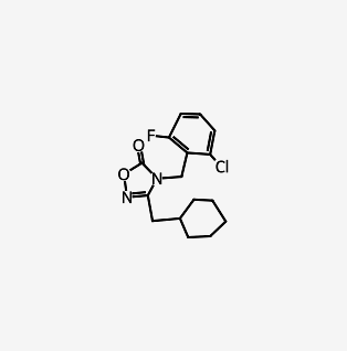 O=c1onc(CC2CCCCC2)n1Cc1c(F)cccc1Cl